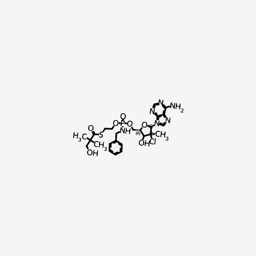 CC(C)(CO)C(=O)SCCOP(=O)(NCc1ccccc1)OC[C@H]1O[C@@H](n2cnc3c(N)ncnc32)[C@](C)(Cl)C1O